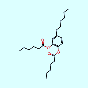 CCCCCCc1ccc(OC(=O)CCCCC)c(OC(=O)CCCCC)c1